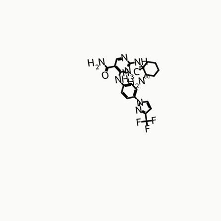 C[C@@]1(Nc2ncc(C(N)=O)c(Nc3ccc(-n4ccc(C(F)(F)F)n4)cc3)n2)CCCC[C@@H]1N